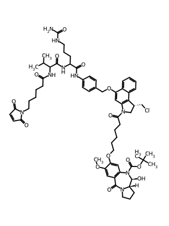 COc1cc2c(cc1OCCCCCC(=O)N1C[C@@H](CCl)c3c1cc(OCc1ccc(NC(=O)C(CCCNC(N)=O)NC(=O)C(NC(=O)CCCCCN4C(=O)C=CC4=O)C(C)C)cc1)c1ccccc31)N(C(=O)OC(C)(C)C)[C@@H](O)[C@@H]1CCCN1C2=O